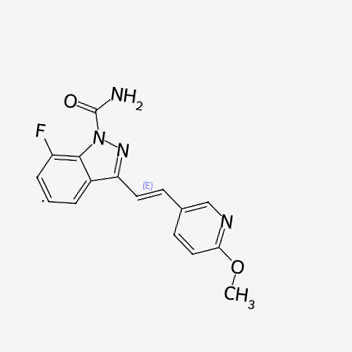 COc1ccc(/C=C/c2nn(C(N)=O)c3c(F)c[c]cc23)cn1